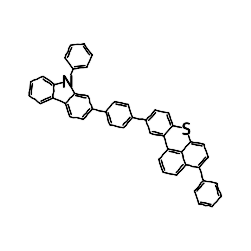 c1ccc(-c2ccc3c4c(cccc24)-c2cc(-c4ccc(-c5ccc6c7ccccc7n(-c7ccccc7)c6c5)cc4)ccc2S3)cc1